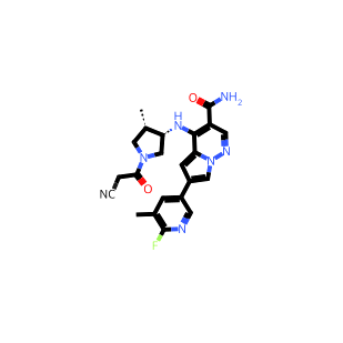 Cc1cc(-c2cc3c(N[C@@H]4CN(C(=O)CC#N)C[C@@H]4C)c(C(N)=O)cnn3c2)cnc1F